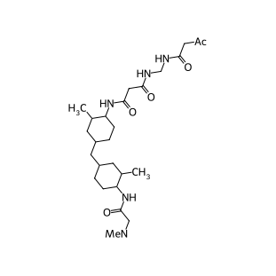 CNCC(=O)NC1CCC(CC2CCC(NC(=O)CC(=O)NCNC(=O)CC(C)=O)C(C)C2)CC1C